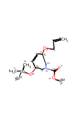 C=CCO[C@@H]1C=C[C@H](O[Si](C)(C)C(C)(C)C)CN(C(=O)OC(C)(C)C)C1